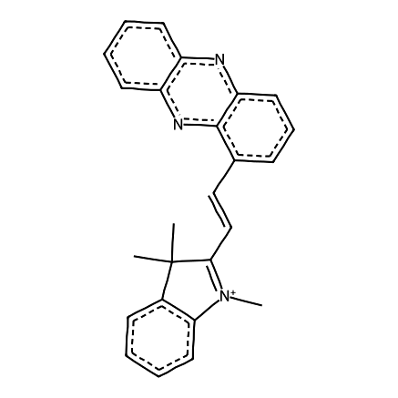 C[N+]1=C(/C=C/c2cccc3nc4ccccc4nc23)C(C)(C)c2ccccc21